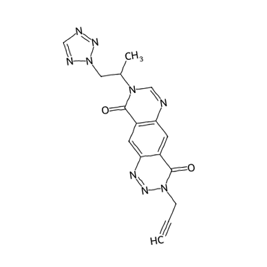 C#CCn1nnc2cc3c(=O)n(C(C)Cn4ncnn4)cnc3cc2c1=O